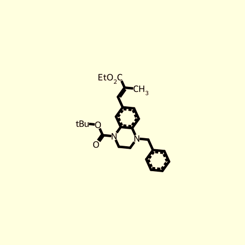 CCOC(=O)C(C)=Cc1ccc2c(c1)N(C(=O)OC(C)(C)C)CCN2Cc1ccccc1